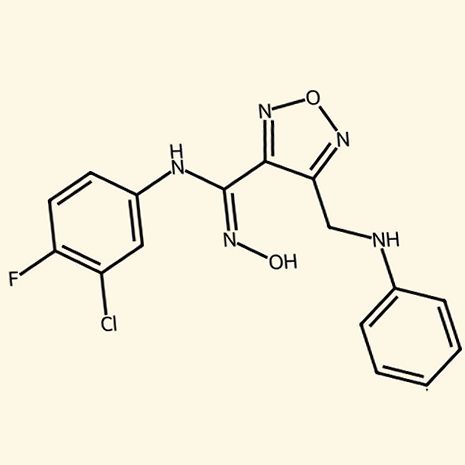 ON=C(Nc1ccc(F)c(Cl)c1)c1nonc1CNc1cc[c]cc1